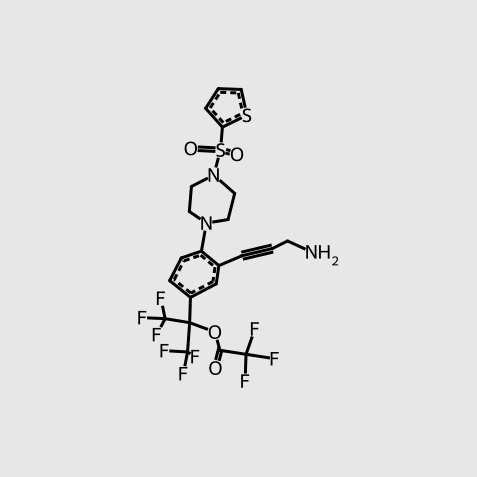 NCC#Cc1cc(C(OC(=O)C(F)(F)F)(C(F)(F)F)C(F)(F)F)ccc1N1CCN(S(=O)(=O)c2cccs2)CC1